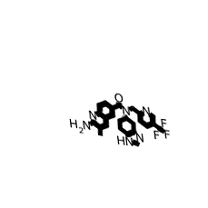 Cc1cc2cc(C(=O)N(Cc3ccc(C(F)(F)F)cn3)[C@@H]3CCc4[nH]cnc4C3)ccc2nc1N